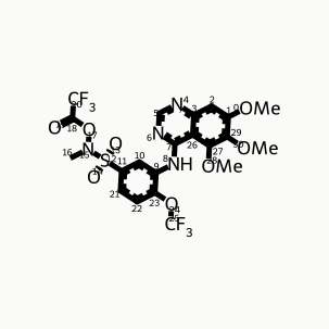 COc1cc2ncnc(Nc3cc(S(=O)(=O)N(C)OC(=O)C(F)(F)F)ccc3OC(F)(F)F)c2c(OC)c1OC